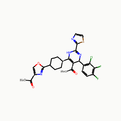 COC(=O)C1=C(C2CCC(c3nc(C(=O)OC)co3)CC2)NC(c2nccs2)=NC1c1ccc(F)c(F)c1Cl